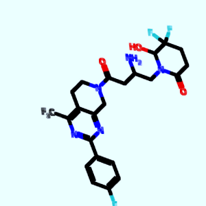 NC(CC(=O)N1CCc2c(nc(-c3ccc(F)cc3)nc2C(F)(F)F)C1)CN1C(=O)CCC(F)(F)C1O